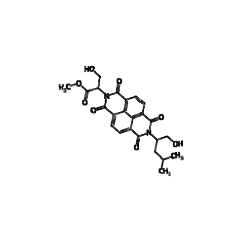 COC(=O)C(CO)N1C(=O)c2ccc3c4c(ccc(c24)C1=O)C(=O)N(C(CO)CC(C)C)C3=O